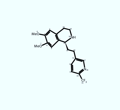 COc1cc2c(cc1OC)[C@H](CCc1ccc(C(F)(F)F)nc1)NCC2